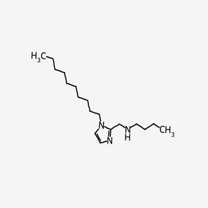 CCCCCCCCCCn1ccnc1CNCCCC